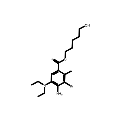 CCN(CC)c1cc(C(=O)OCCCCCO)c(C)c(Br)c1N